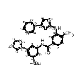 Cc1ccc(C(=O)Nc2cc(-n3cncn3)cc(C(C)(C)C)c2)cc1Nc1nc(-c2cccnc2)cs1